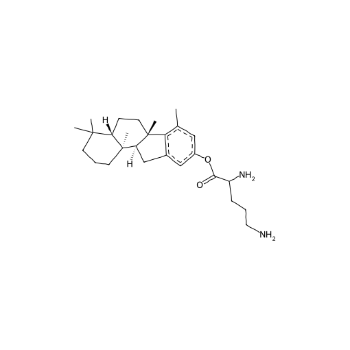 Cc1cc(OC(=O)C(N)CCCN)cc2c1[C@@]1(C)CC[C@H]3C(C)(C)CCC[C@]3(C)[C@@H]1C2